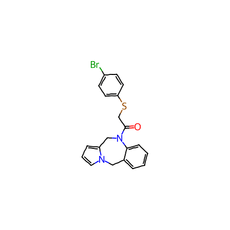 O=C(CSc1ccc(Br)cc1)N1Cc2cccn2Cc2ccccc21